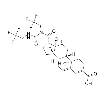 C[C@]12CC[C@H]3[C@@H](CC=C4C=C(C(=O)O)CC[C@@]43C)[C@@H]1CC[C@@H]2C(=O)N(CC(F)(F)F)C(=O)NCC(F)(F)F